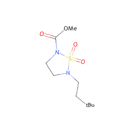 COC(=O)N1CCN(CCC(C)(C)C)S1(=O)=O